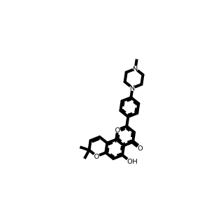 CN1CCN(c2ccc(-c3cc(=O)c4c(O)cc5c(c4o3)C=CC(C)(C)O5)cc2)CC1